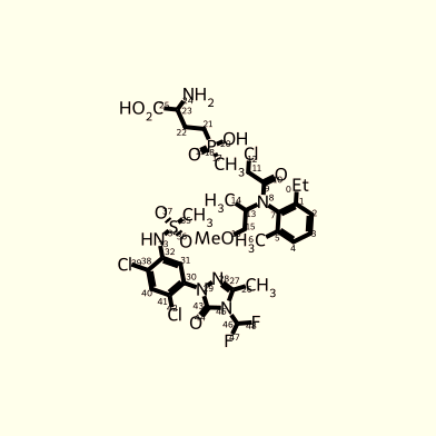 CCc1cccc(C)c1N(C(=O)CCl)C(C)COC.CP(=O)(O)CCC(N)C(=O)O.Cc1nn(-c2cc(NS(C)(=O)=O)c(Cl)cc2Cl)c(=O)n1C(F)F